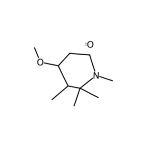 COC1CCN(C)C(C)(C)C1C.[O]